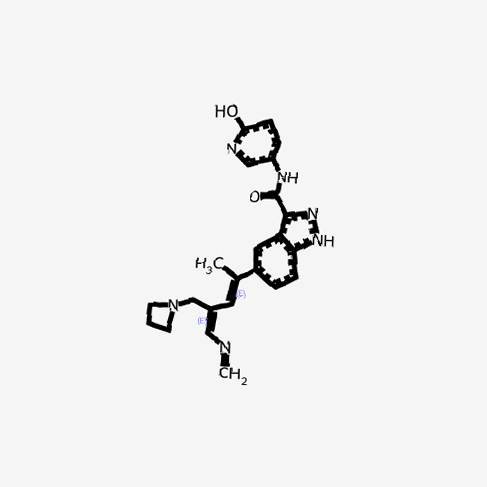 C=N/C=C(\C=C(/C)c1ccc2[nH]nc(C(=O)Nc3ccc(O)nc3)c2c1)CN1CCC1